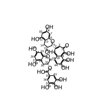 O=c1cc([C@H]2Oc3cc(O)cc(O)c3C[C@H]2O)cc2c([C@H]3Oc4cc(O)cc(O)c4C[C@H]3OC(O)c3cc(O)c(O)c(O)c3)cc(O)c(O)c2c1O